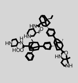 CC[C@]12CC3CC(C(=O)N[C@@H]4CCNC[C@@H]4F)(C1)C[C@@](c1ccc(C45CC6(C(=O)NC7CCNCC7(C)C)C[C@](C)(C4)C[C@@](c4ccc(C78CC9(C(=O)N[C@@H]%10CCNC[C@H]%10O)C[C@](C)(C7)C[C@@](c7ccccc7)(C9)C8)cc4)(C6)C5)cc1)(C3)C2